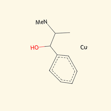 CNC(C)C(O)c1ccccc1.[Cu]